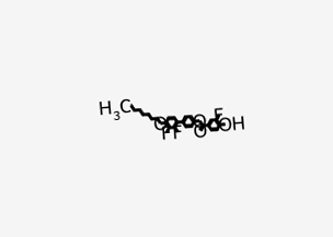 CCCCCCCCOc1ccc(-c2ccc(OC(=O)c3ccc(O)c(F)c3)cc2)c(F)c1F